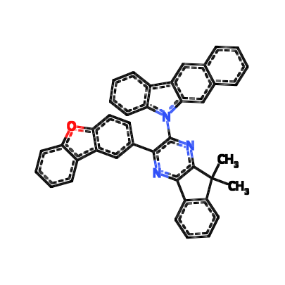 CC1(C)c2ccccc2-c2nc(-c3ccc4oc5ccccc5c4c3)c(-n3c4ccccc4c4cc5ccccc5cc43)nc21